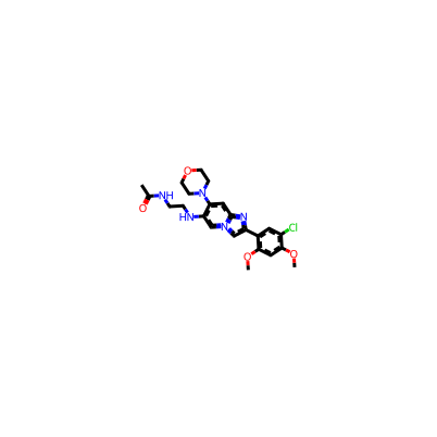 COc1cc(OC)c(-c2cn3cc(NCCNC(C)=O)c(N4CCOCC4)cc3n2)cc1Cl